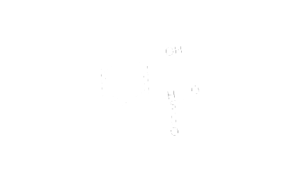 O=[SH](=O)c1ccccc1O